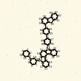 c1ccc(-c2cccc(-n3c4ccccc4c4c5c6ccccc6n(-c6ccc(-c7ccc(-c8cccc9c8Cc8ccccc8-9)cc7)cc6)c5ccc43)c2)cc1